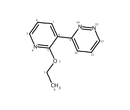 CCOc1ncccc1-c1cccnn1